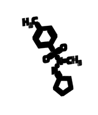 Cc1ccc(S(=O)(=O)N(C)N=C2CCCC2)cc1